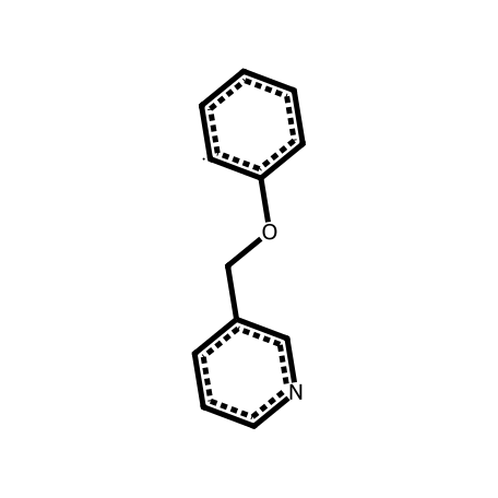 [c]1ccccc1OCc1cccnc1